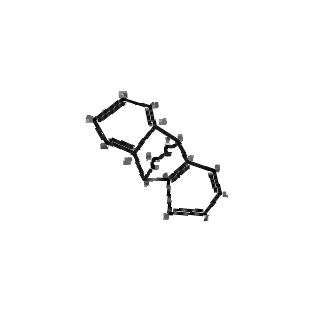 [c]1cccc2c1C1CCC2c2ccccc21